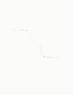 CC(C)=CCCC#N